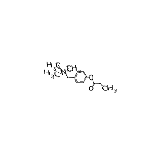 CCC(=O)Oc1ccc(C[N+](C)(C)C)cc1